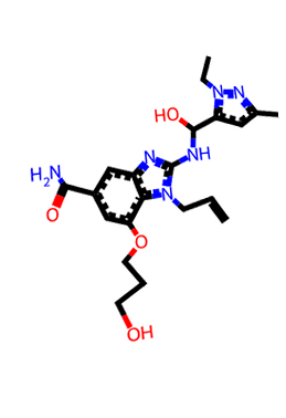 C=CCn1c(NC(O)c2cc(C)nn2CC)nc2cc(C(N)=O)cc(OCCCO)c21